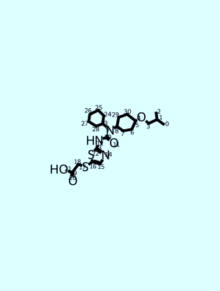 CC(C)COC1CCC(N(C(=O)Nc2ncc(SCC(=O)O)s2)C2CCCCC2)CC1